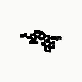 CCOCc1cc(OC)c(-c2ccc(C[C@H](NC(=O)c3c(Cl)cccc3Cl)C(=O)OCC)cc2)c(OC)c1